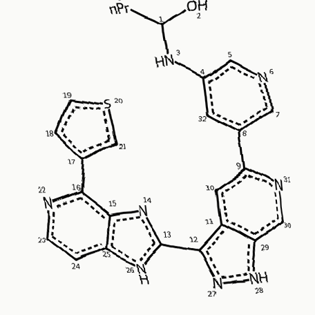 CCCC(O)Nc1cncc(-c2cc3c(-c4nc5c(-c6ccsc6)nccc5[nH]4)n[nH]c3cn2)c1